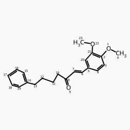 COc1ccc(/C=C/C(=O)CCCCc2ccccc2)cc1OC